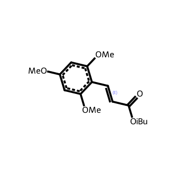 COc1cc(OC)c(/C=C/C(=O)OCC(C)C)c(OC)c1